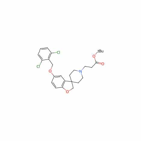 CC(C)(C)OC(=O)CCN1CCC2(CC1)COc1ccc(OCc3c(Cl)cccc3Cl)cc12